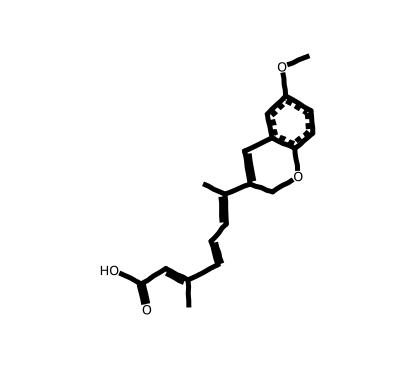 COc1ccc2c(c1)C=C(C(C)=CC=CC(C)=CC(=O)O)CO2